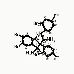 CC(N)(c1ccc(Br)c(Br)c1)C(CN)(c1ccc(F)cc1Br)C(N)Cc1ccc(F)cc1Br